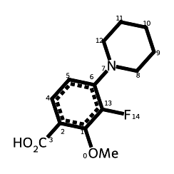 COc1c(C(=O)O)ccc(N2CCCCC2)c1F